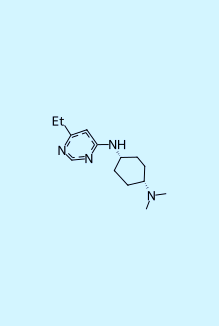 CCc1cc(N[C@H]2CC[C@@H](N(C)C)CC2)ncn1